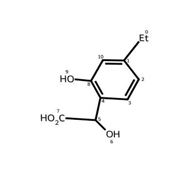 CCc1ccc(C(O)C(=O)O)c(O)c1